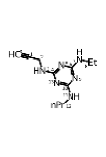 C#CCNc1nc(NCC)nc(NCCC)n1